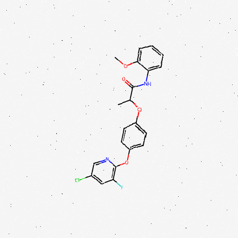 COc1ccccc1NC(=O)C(C)Oc1ccc(Oc2ncc(Cl)cc2F)cc1